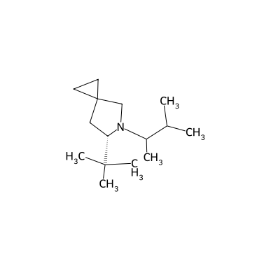 CC(C)C(C)N1CC2(CC2)C[C@H]1C(C)(C)C